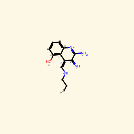 CC(C)CCN/C=C1\C(=N)C(N)=Nc2cccc(O)c21